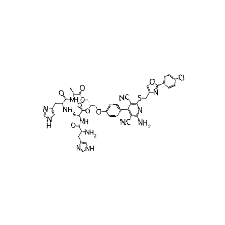 C[C@H](NC(=O)[C@@H](N)Cc1c[nH]cn1)C(=O)OC[C@H](COc1ccc(-c2c(C#N)c(N)nc(SCc3coc(-c4ccc(Cl)cc4)n3)c2C#N)cc1)OC(=O)[C@H](C)NC(=O)[C@@H](N)Cc1c[nH]cn1